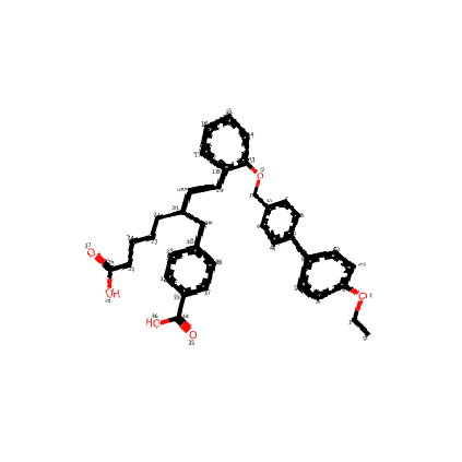 CCOc1ccc(-c2ccc(COc3ccccc3/C=C/C(CCCCC(=O)O)Cc3ccc(C(=O)O)cc3)cc2)cc1